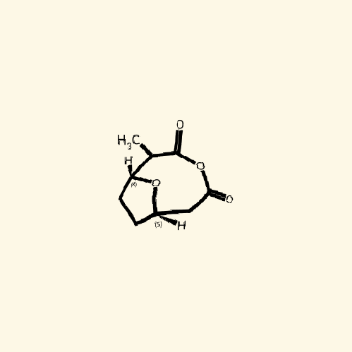 CC1C(=O)OC(=O)C[C@@H]2CC[C@H]1O2